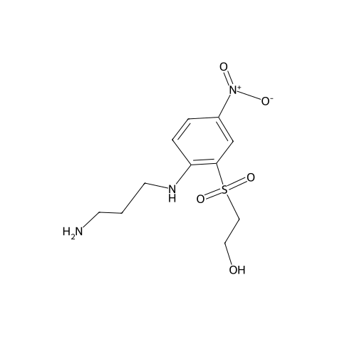 NCCCNc1ccc([N+](=O)[O-])cc1S(=O)(=O)CCO